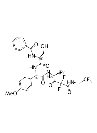 COC1=CCC([C@H](NC(=O)[C@H](CO)NC(=O)c2ccccc2)C(=O)N[C@H](C(=O)C(F)(F)C(=O)NCC(F)(F)F)C(C)C)C=C1